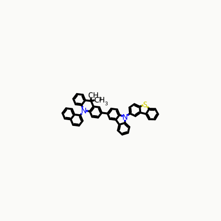 CC1(C)c2ccccc2N(c2cccc3ccccc23)c2ccc(-c3ccc4c(c3)c3ccccc3n4-c3ccc4sc5ccccc5c4c3)cc21